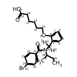 [2H]C([2H])(c1ccccc1OCCCCCC(=O)O)N(C(=O)c1ccc(Br)cc1)C(C)CC